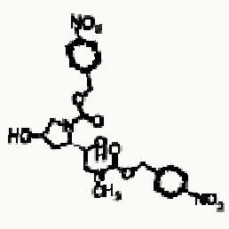 CN(CC(O)[C@@H]1C[C@@H](O)CN1C(=O)OCc1ccc([N+](=O)[O-])cc1)C(=O)OCc1ccc([N+](=O)[O-])cc1